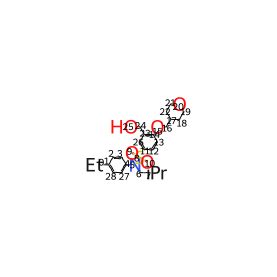 CCc1ccc(N(CC(C)C)S(=O)(=O)c2ccc(OCC3CCOCC3)c(CO)c2)cc1